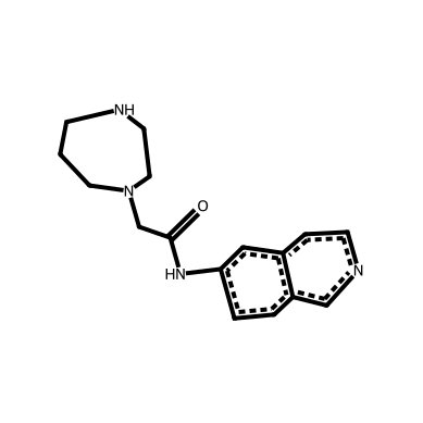 O=C(CN1CCCNCC1)Nc1ccc2cnccc2c1